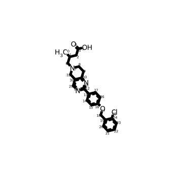 CC(CC(=O)O)CN1CCc2nc(-c3ccc(OCc4ccccc4Cl)cc3)ncc2C1